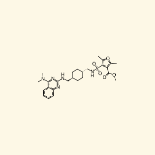 COC(=O)c1c(C)oc(C)c1S(=O)(=O)NC[C@H]1CC[C@H](CNc2nc(N(C)C)c3ccccc3n2)CC1